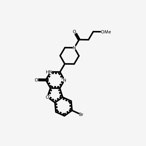 COCCC(=O)N1CCC(c2nc3c(oc4ccc(Br)cc43)c(=O)[nH]2)CC1